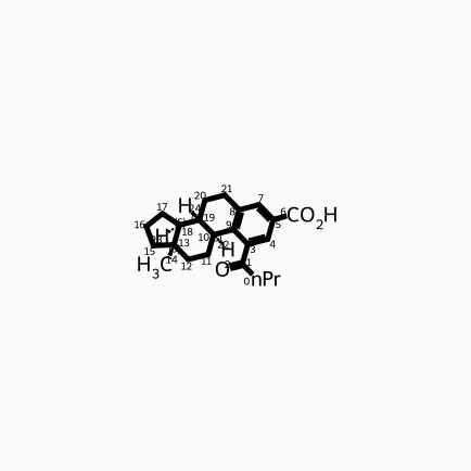 CCCC(=O)c1cc(C(=O)O)cc2c1[C@H]1CC[C@]3(C)CCC[C@H]3[C@@H]1CC2